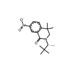 C[C@@H](N1CC(C)(C)c2ccc([N+](=O)[O-])cc2C1=O)C(C)(C)C